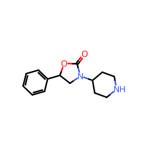 O=C1OC(c2ccccc2)CN1C1CCNCC1